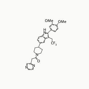 COc1ccc(-c2[nH]c3ccc(C4CCN(C(=O)Cc5cnccn5)CC4)cc3c2CC(F)(F)F)cc1OC